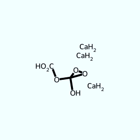 O=C(O)OC1(O)OO1.[CaH2].[CaH2].[CaH2]